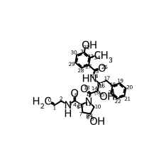 C=CCNC(=O)[C@@H]1C[C@@H](O)CN1C(=O)[C@@H](O)[C@H](Cc1ccccc1)NC(=O)c1cccc(O)c1C